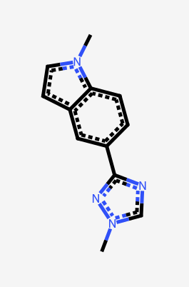 Cn1cnc(-c2ccc3c(ccn3C)c2)n1